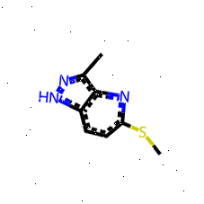 CSc1ccc2[nH]nc(C)c2n1